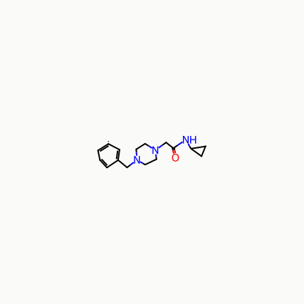 O=C(CN1CCN(Cc2c[c]ccc2)CC1)NC1CC1